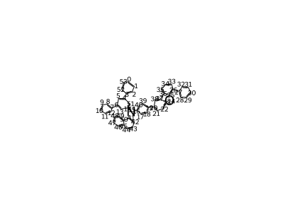 c1ccc(-c2cc(-c3ccccc3)cc(N(c3ccc(-c4ccc5oc6c(-c7ccccc7)cccc6c5c4)cc3)c3cccc4ccccc34)c2)cc1